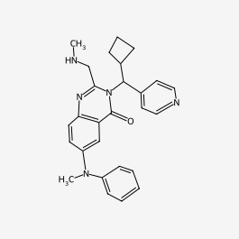 CNCc1nc2ccc(N(C)c3ccccc3)cc2c(=O)n1C(c1ccncc1)C1CCC1